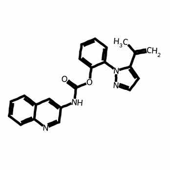 C=C(C)c1ccnn1-c1ccccc1OC(=O)Nc1cnc2ccccc2c1